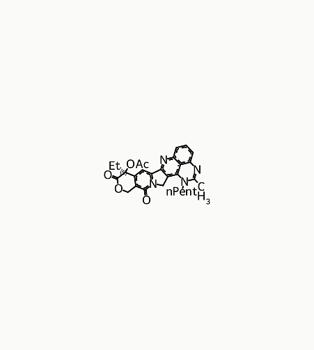 CCCCCN1C(C)=Nc2cccc3nc4c(c1c23)Cn1c-4cc2c(c1=O)COC(=O)[C@@]2(CC)OC(C)=O